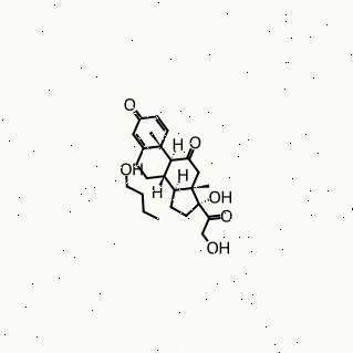 CCCCO.C[C@]12C=CC(=O)C=C1CC[C@@H]1[C@@H]2C(=O)C[C@@]2(C)[C@H]1CC[C@]2(O)C(=O)CO